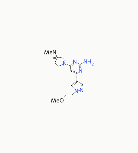 CN[C@@H]1CCN(c2cc(-c3cnn(CCOC)c3)nc(N)n2)C1